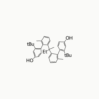 CCC(C)(c1cccc(C)c1-c1ccc(O)cc1C(C)(C)C)c1cccc(C)c1-c1ccc(O)cc1C(C)(C)C